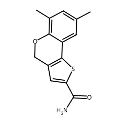 Cc1cc(C)c2c(c1)-c1sc(C(N)=O)cc1CO2